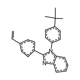 C=Cc1ccc(-c2nc3ccccc3n2-c2ccc(C(C)(C)C)cc2)cc1